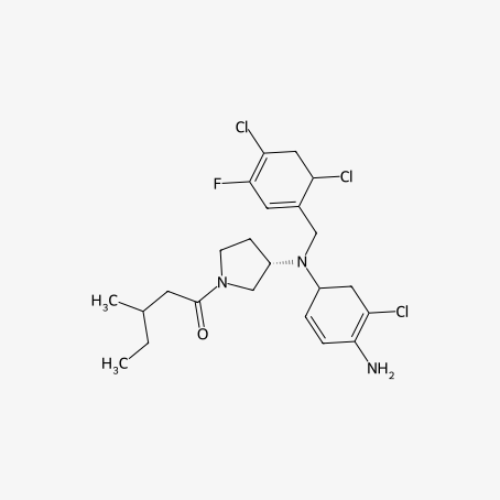 CCC(C)CC(=O)N1CC[C@H](N(CC2=CC(F)=C(Cl)CC2Cl)C2C=CC(N)=C(Cl)C2)C1